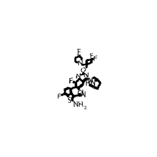 N#Cc1c(N)sc2c(F)ccc(-c3c(Cl)cc4c(N5CC6CCC(C5)N6)nc(OCC5(CN6CC[C@@H](F)C6)CC(F)(F)C5)nc4c3F)c12